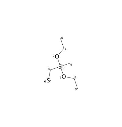 CCO[Si](C)(C[S])OCC